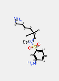 CCN(CC(C)(C)CCCCN)S(=O)(=O)c1cccc(N)c1